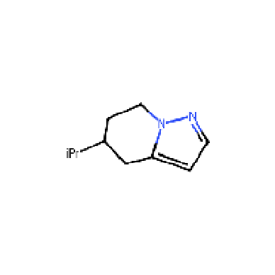 CC(C)C1CCn2nccc2C1